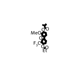 C=C(C)C(=O)Oc1ccc2c(oc3c(C(F)(F)F)c(OC(=O)CC)ccc32)c1OC